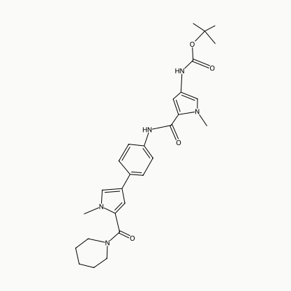 Cn1cc(NC(=O)OC(C)(C)C)cc1C(=O)Nc1ccc(-c2cc(C(=O)N3CCCCC3)n(C)c2)cc1